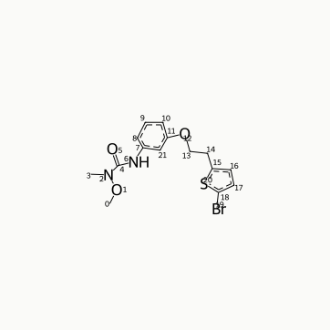 CON(C)C(=O)Nc1cccc(OCCc2ccc(Br)s2)c1